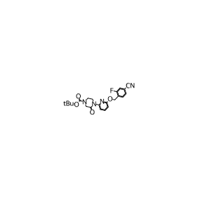 CC(C)(C)OC(=O)N1CCN(c2cccc(OCc3ccc(C#N)cc3F)n2)C(=O)C1